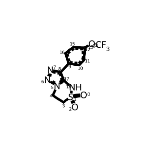 O=S1(=O)CCn2nnc(-c3ccc(OC(F)(F)F)cc3)c2N1